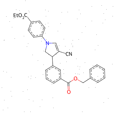 CCOC(=O)c1ccc(N2C=C(C#N)C(c3cccc(C(=O)OCc4ccccc4)c3)C2)cc1